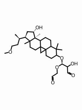 COCC[C@@H](C)[C@H]1C[C@H](O)[C@@]2(C)C3CCC4C(C)(C)C(O[C@H](OCC=O)C(O)C=O)CCC45CC35CCC12C